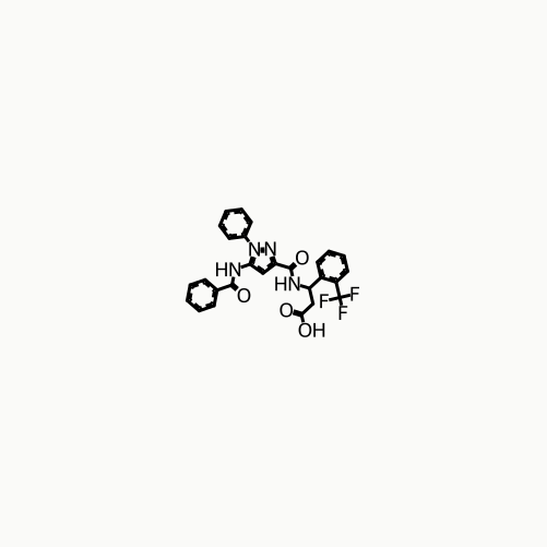 O=C(O)CC(NC(=O)c1cc(NC(=O)c2ccccc2)n(-c2ccccc2)n1)c1ccccc1C(F)(F)F